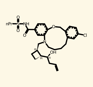 C=CC[C@H](O)[C@@H]1CC[C@H]1CN1CCCCc2cc(Cl)ccc2COc2ccc(C(=O)NS(=O)(=O)CCC)cc21